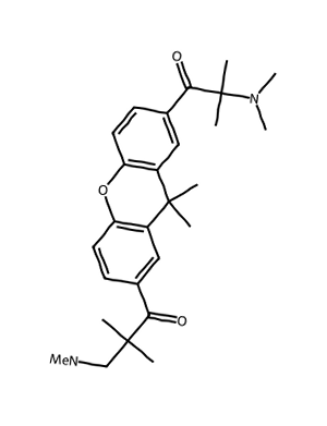 CNCC(C)(C)C(=O)c1ccc2c(c1)C(C)(C)c1cc(C(=O)C(C)(C)N(C)C)ccc1O2